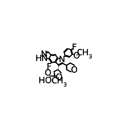 COc1cc(-n2c(C3CCOCC3)c([C@@H]3CO[C@](C)(C(=O)O)C3)c3c(F)c4[nH]ncc4cc32)ccc1F